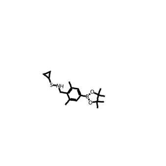 Cc1cc(B2OC(C)(C)C(C)(C)O2)cc(C)c1CNSC1CC1